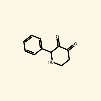 O=C1CCBC(c2ccccc2)C1=O